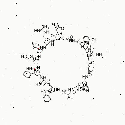 CCCC[C@H]1C(=O)N(C)[C@@H](CCSC)C(=O)N[C@@H](CCCNC(=N)N)C(=O)NC(C(=O)NCC(N)=O)CSCC(=O)N[C@@H](Cc2ccc(O)cc2)C(=O)N(C)[C@@H](C)C(=O)N[C@@H](CC(N)=O)C(=O)N2CCC[C@H]2C(=O)N[C@@H](Cc2cnc[nH]2)C(=O)N[C@@H](CO)C(=O)N2C[C@H](O)C[C@H]2C(=O)N[C@@H](Cc2c[nH]c3ccccc23)C(=O)N[C@@H](CO)C(=O)N[C@@H](Cc2c[nH]c3ccccc23)C(=O)N1C